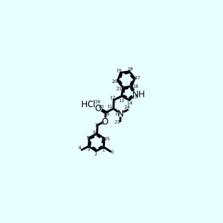 Cc1cc(C)cc(COC(=O)C(Cc2c[nH]c3ccccc23)N(C)C)c1.Cl